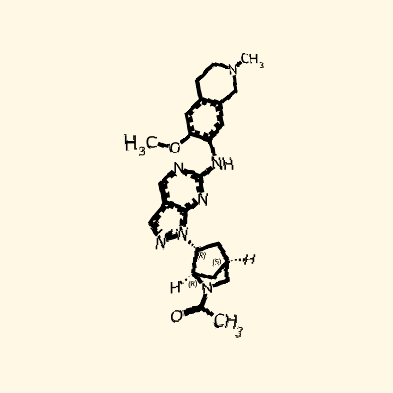 COc1cc2c(cc1Nc1ncc3cnn([C@@H]4C[C@@H]5C[C@H]4N(C(C)=O)C5)c3n1)CN(C)CC2